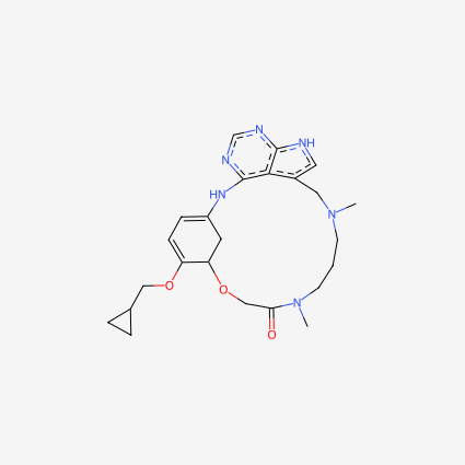 CN1CCCN(C)C(=O)COC2CC(=CC=C2OCC2CC2)Nc2ncnc3[nH]cc(c23)C1